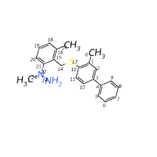 Cc1cc(-c2ccccc2)ccc1SCc1c(C)cccc1N(C)N